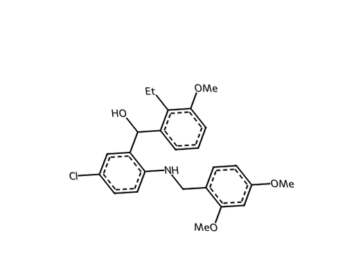 CCc1c(OC)cccc1C(O)c1cc(Cl)ccc1NCc1ccc(OC)cc1OC